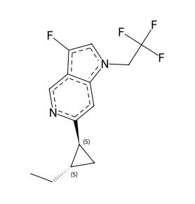 CC[C@H]1C[C@@H]1c1cc2c(cn1)c(F)cn2CC(F)(F)F